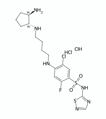 Cl.Cl.N[C@@H]1CCC[C@H]1NCCCCNc1cc(F)c(S(=O)(=O)Nc2ncns2)cc1Cl